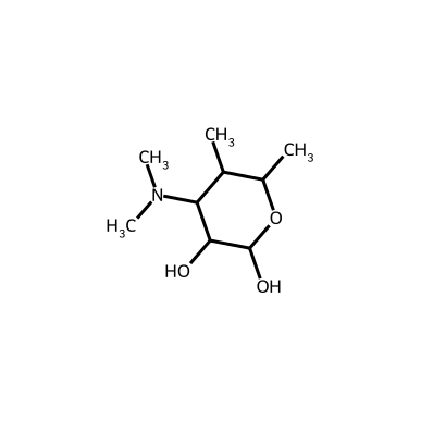 CC1OC(O)C(O)C(N(C)C)C1C